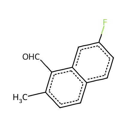 Cc1ccc2ccc(F)cc2c1C=O